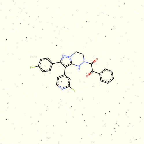 O=C(C(=O)N1CCn2nc(-c3ccc(F)cc3)c(-c3ccnc(F)c3)c2N1)c1ccccc1